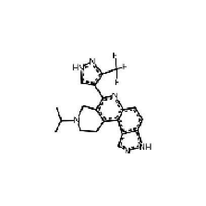 CC(C)N1CCc2c(c(-c3c[nH]nc3C(F)(F)F)nc3ccc4[nH]ncc4c23)C1